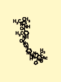 CC(=O)c1c(C)c2cnc(Nc3ccc(N4CCN(C(=O)CNc5cccc(C(=O)Nc6nc(C)c(C)s6)c5C)CC4)cn3)nc2n(C2CCCC2)c1=O